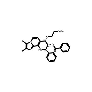 COCCO[C@H]1c2ccn3c(C)c(C)nc3c2N[C@H](c2ccccc2)[C@H]1OC(=O)c1ccccc1